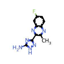 Cc1nc2ccc(F)cc2nc1-c1n[nH]c(N)n1